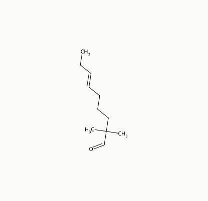 CC/C=C/CCCC(C)(C)C=O